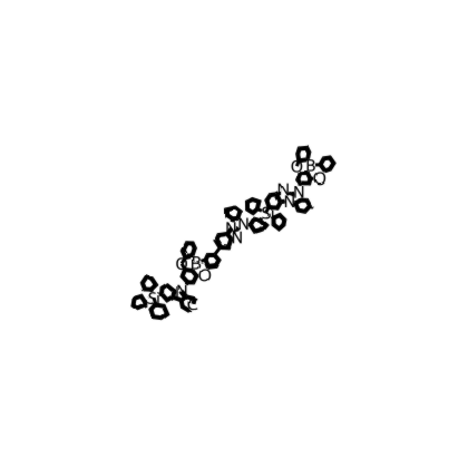 c1ccc([Si](c2ccccc2)(c2ccccc2)c2ccc3c(c2)c2ccccc2n3-c2cc3c4c(c2)Oc2ccc(-c5ccc6c(c5)nc5n(-c7cccc([Si](c8ccccc8)(c8ccccc8)c8ccc9nc%10n(-c%11cc%12c%13c(c%11)Oc%11ccccc%11B%13c%11ccccc%11O%12)c%11ccccc%11n%10c9c8)c7)c7ccccc7n65)cc2B4c2ccccc2O3)cc1